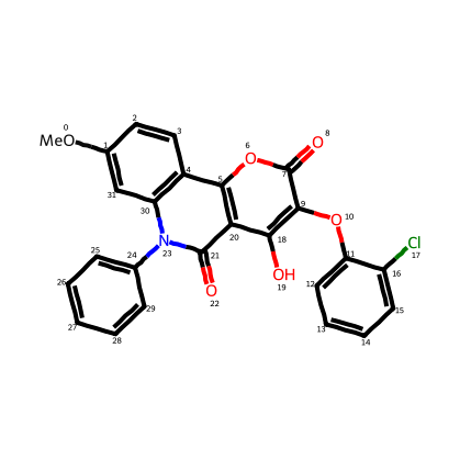 COc1ccc2c3oc(=O)c(Oc4ccccc4Cl)c(O)c3c(=O)n(-c3ccccc3)c2c1